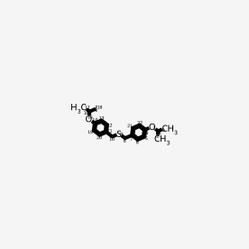 CC(C)Oc1ccc(CSCc2ccc(OC(C)I)cc2)cc1